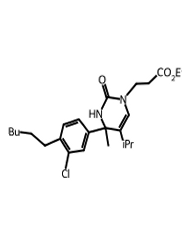 CCOC(=O)CCN1C=C(C(C)C)C(C)(c2ccc(CCC(C)(C)C)c(Cl)c2)NC1=O